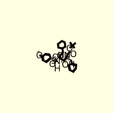 COc1ccc(S(=O)(=O)NC(OCC2CCCCC2)[C@H](O)[C@H](Cc2ccccc2)NC(=O)OC(C)(C)C)cc1